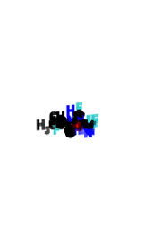 CC(C)c1ccc(C(NC(=O)C2CC(F)CN2C(=O)Cc2[nH]nnc2C(F)(F)F)c2ccccc2)cc1F